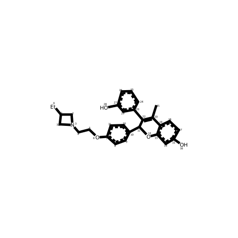 CCC1CN(CCOc2ccc(C3Oc4cc(O)ccc4C(C)=C3c3cccc(O)c3)cc2)C1